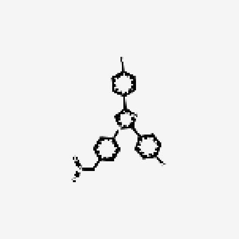 O=[SH](=O)Cc1ccc(-n2cc(-c3ccc(F)cc3)nc2-c2ccc(Cl)cc2)cc1